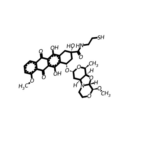 COc1cccc2c1C(=O)c1c(O)c3c(c(O)c1C2=O)C[C@@](O)(C(=O)NCCS)C[C@@H]3O[C@H]1C[C@H]2[C@H](O[C@@H]3[C@@H](OC)OCCN32)[C@H](C)O1